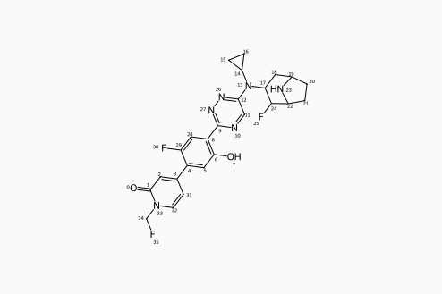 O=c1cc(-c2cc(O)c(-c3ncc(N(C4CC4)C4CC5CCC(N5)C4F)nn3)cc2F)ccn1CF